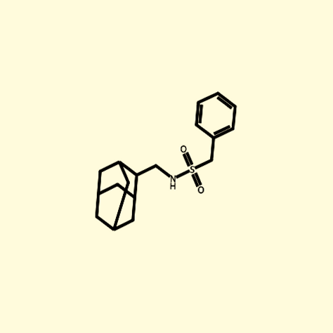 O=S(=O)(Cc1ccccc1)NCC1C2CC3CC(C2)CC1C3